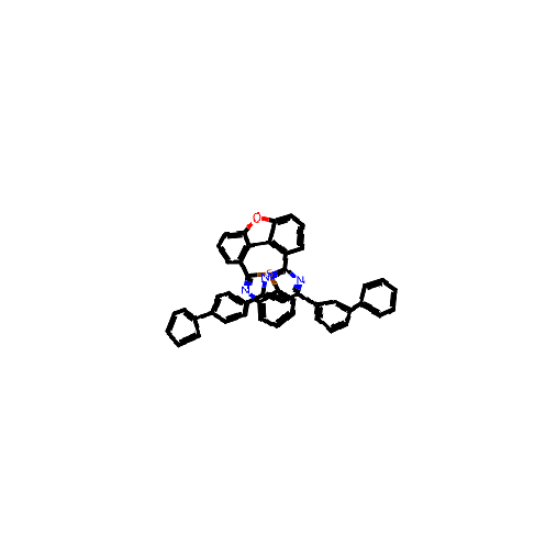 c1ccc(-c2ccc(-c3cc(-c4cccc(-c5ccccc5)c4)nc(-c4cccc5oc6cccc(-c7nc8ccccc8s7)c6c45)n3)cc2)cc1